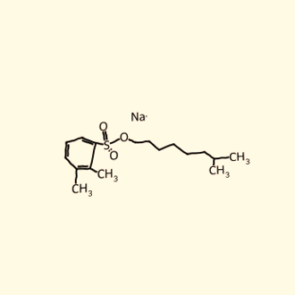 Cc1cccc(S(=O)(=O)OCCCCCCC(C)C)c1C.[Na]